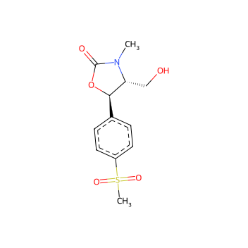 CN1C(=O)O[C@H](c2ccc(S(C)(=O)=O)cc2)[C@H]1CO